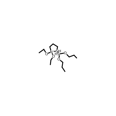 CCCO[SiH](OCCC)[SiH]1CCC[N+]1(OCC)OCC